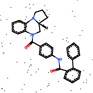 O=C(Nc1ccc(C(=O)N2C[C@H]3CCCN3c3ccccc32)cc1)c1ccccc1-c1ccccc1